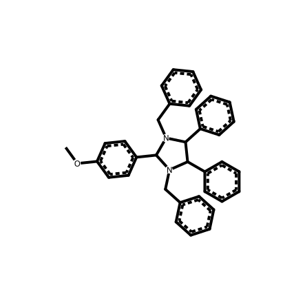 COc1ccc(C2N(Cc3ccccc3)C(c3ccccc3)C(c3ccccc3)N2Cc2ccccc2)cc1